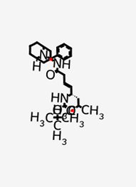 CC(C)C[C@@H](/C=C/CC(=O)NC1CC2CCC[C@@H](C1)N2Cc1ccccc1)NC(=O)OC(C)(C)C